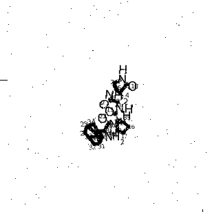 NC(=O)[C@H](C[C@@H]1CCNC1=O)NC(=O)[C@@H]1[C@H]2CC[C@H](C2)N1C(=O)[C@@H](N)C12CC3CC(CC(C3)C1)C2